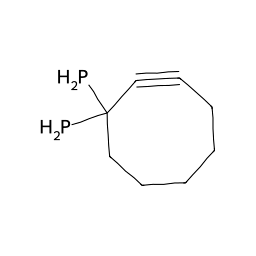 PC1(P)C#CCCCCC1